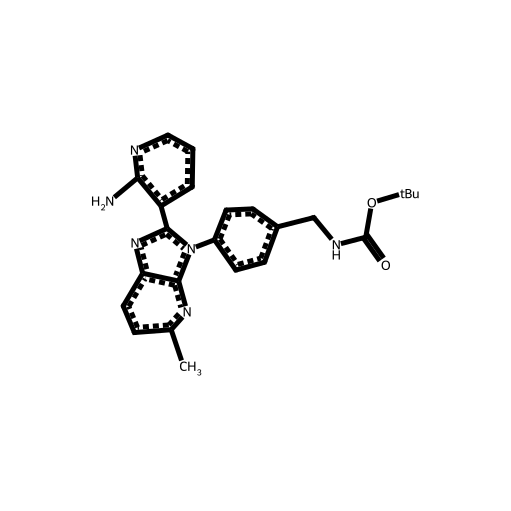 Cc1ccc2nc(-c3cccnc3N)n(-c3ccc(CNC(=O)OC(C)(C)C)cc3)c2n1